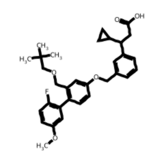 COc1ccc(F)c(-c2ccc(OCc3cccc(C(CC(=O)O)C4CC4)c3)cc2COCC(C)(C)C)c1